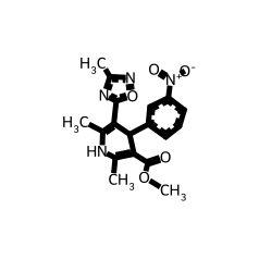 COC(=O)C1=C(C)NC(C)=C(c2nc(C)no2)C1c1cccc([N+](=O)[O-])c1